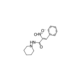 O=C(NN1CCCCC1)C(=Cc1ccccc1)[N+](=O)[O-]